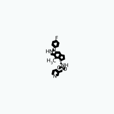 C[C@H]1C2=CNN(c3ccc(F)cc3)C2=CC2=C1[C@@H](CNS(=O)(=O)Cc1cccnc1)CC2